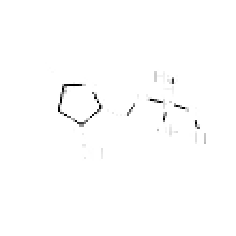 [2H]O[PH](O)(O)OC[C@H]1O[C@@H](C)C[C@H]1O